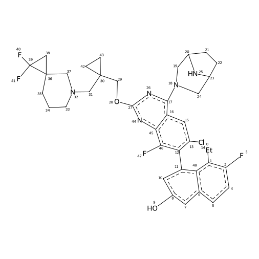 CCc1c(F)ccc2cc(O)cc(-c3c(Cl)cc4c(N5CC6CCC(C5)N6)nc(OCC5(CN6CCCC7(C6)CC7(F)F)CC5)nc4c3F)c12